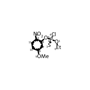 CCOP(=S)(Cl)Oc1cc(OC)ccc1[N+](=O)[O-]